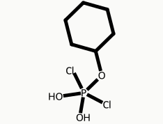 OP(O)(Cl)(Cl)OC1CCCCC1